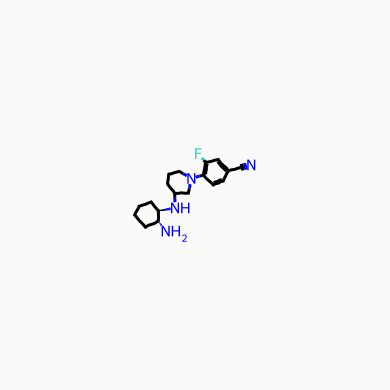 N#Cc1ccc(N2CCCC(N[C@@H]3CCCC[C@H]3N)C2)c(F)c1